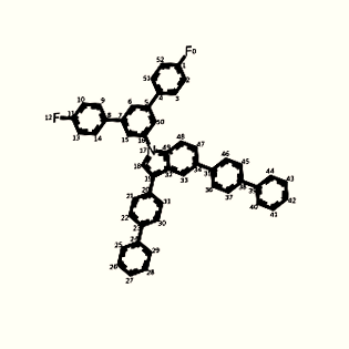 Fc1ccc(-c2cc(-c3ccc(F)cc3)cc(-n3cc(-c4ccc(-c5ccccc5)cc4)c4cc(-c5ccc(-c6ccccc6)cc5)ccc43)c2)cc1